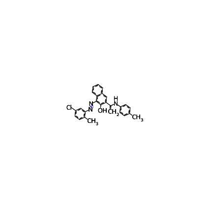 C=C(Nc1ccc(C)cc1)c1cc2ccccc2c(/N=N/c2cc(Cl)ccc2C)c1O